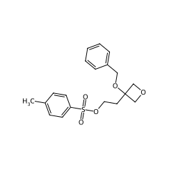 Cc1ccc(S(=O)(=O)OCCC2(OCc3ccccc3)COC2)cc1